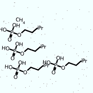 C.CC(C)CCOP(=O)(O)O.CC(C)CCOP(=O)(O)O.CC(C)CCOP(=O)(O)O.CC(C)CCOP(=O)(O)O